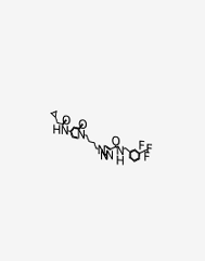 O=C(CC1CC1)Nc1ccn(CCCCn2cc(C(=O)NCc3cccc(C(F)(F)F)c3)nn2)c(=O)c1